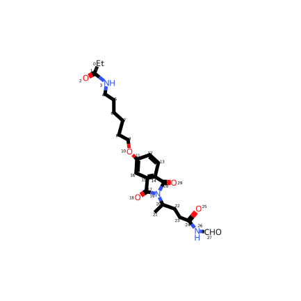 CCC(=O)NCCCCCCOc1ccc2c(c1)C(=O)N(C(C)CCC(=O)NC=O)C2=O